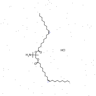 CCCCCCCC/C=C\CCCCCCCC(=O)OCC(C)(OC(=O)CCCCCCC/C=C\CCCCCCCC)C(C)(C)N.Cl